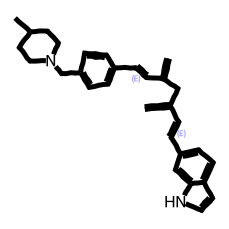 C=C(/C=C/c1ccc(CN2CCC(C)CC2)cc1)CC(=C)/C=C/c1ccc2cc[nH]c2c1